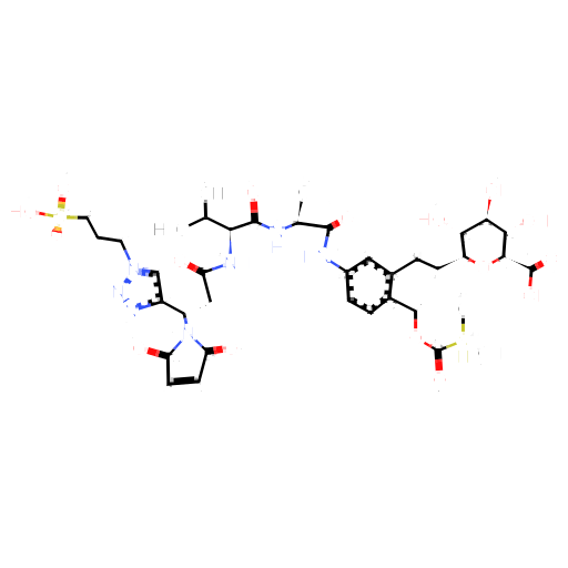 CC(C)[C@H](NC(=O)C[C@@H](c1cn(CCCS(=O)(=O)O)nn1)N1C(=O)C=CC1=O)C(=O)N[C@@H](C)C(=O)Nc1ccc(COC(=O)[SH](C)C)c(CC[C@@H]2O[C@H](C(=O)O)[C@@H](O)[C@H](O)[C@H]2O)c1